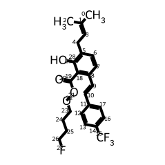 CC(C)=CCc1ccc(C=Cc2ccc(C(F)(F)F)cc2)c(C(=O)OOCCCCF)c1O